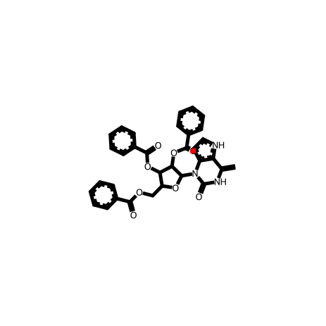 C=C1NC(=O)N(C2OC(COC(=O)c3ccccc3)C(OC(=O)c3ccccc3)C2OC(=O)c2ccccc2)c2cc[nH]c21